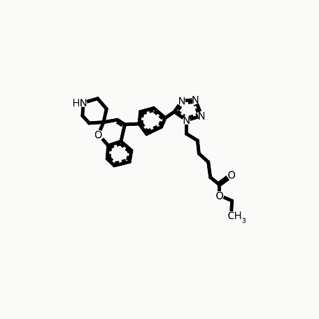 CCOC(=O)CCCCCn1nnnc1-c1ccc(C2=CC3(CCNCC3)Oc3ccccc32)cc1